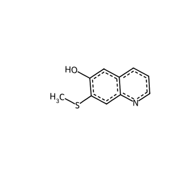 CSc1cc2ncccc2cc1O